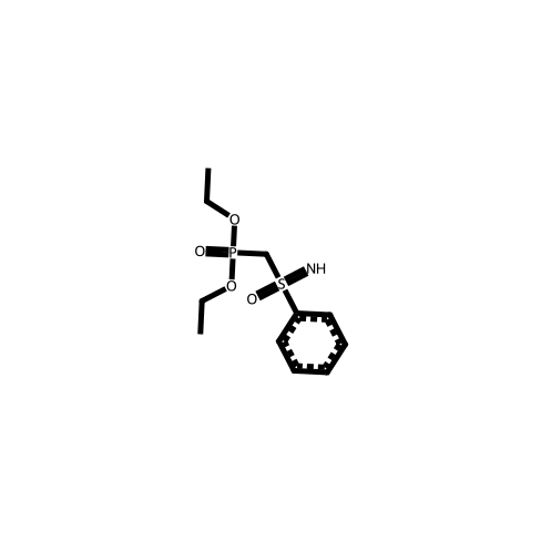 CCOP(=O)(CS(=N)(=O)c1ccccc1)OCC